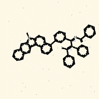 C=C(/N=C(\C(=C(/I)c1ccccc1)c1ccccc1)c1cccc(-c2cccc3c2ccc2c3c3cc4ccccc4cc3n2C)c1)c1ccccc1